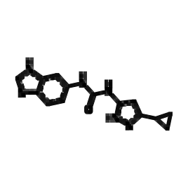 O=C(Nc1ccc2nc[nH]c2c1)Nc1cc(C2CC2)n[nH]1